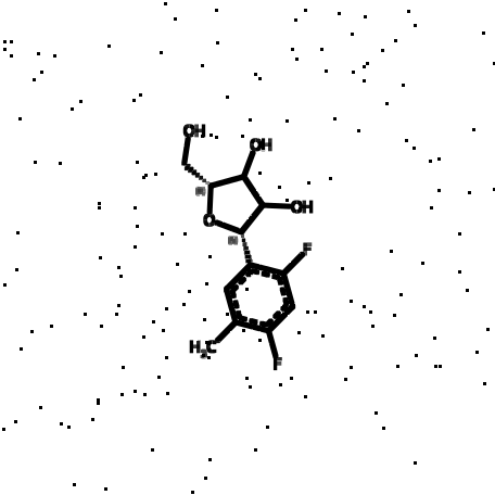 Cc1cc([C@@H]2O[C@H](CO)C(O)C2O)c(F)cc1F